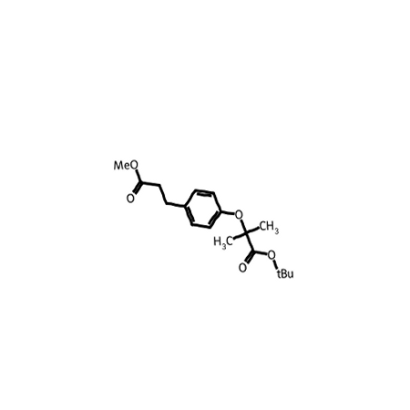 COC(=O)CCc1ccc(OC(C)(C)C(=O)OC(C)(C)C)cc1